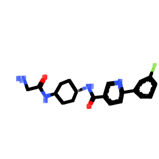 NCC(=O)N[C@H]1CC[C@H](NC(=O)c2ccc(-c3cccc(F)c3)nc2)CC1